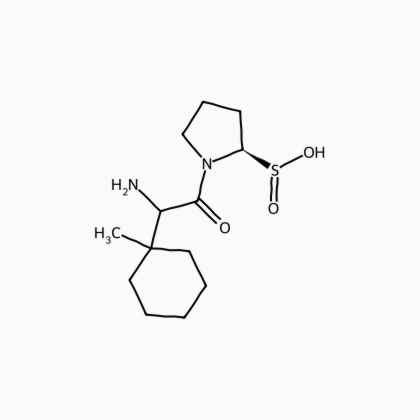 CC1(C(N)C(=O)N2CCC[C@H]2S(=O)O)CCCCC1